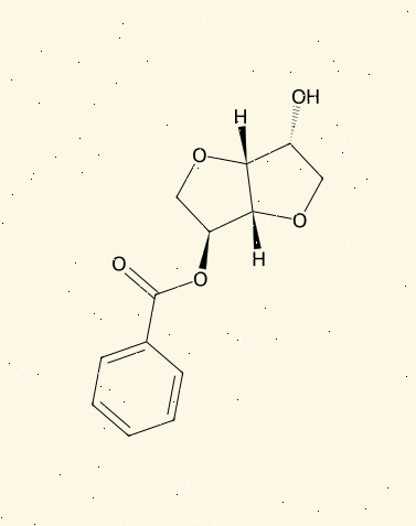 O=C(O[C@H]1CO[C@H]2[C@@H]1OC[C@H]2O)c1ccccc1